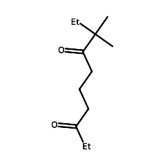 CCC(=O)CCCC(=O)C(C)(C)CC